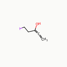 C=C=C(O)CCI